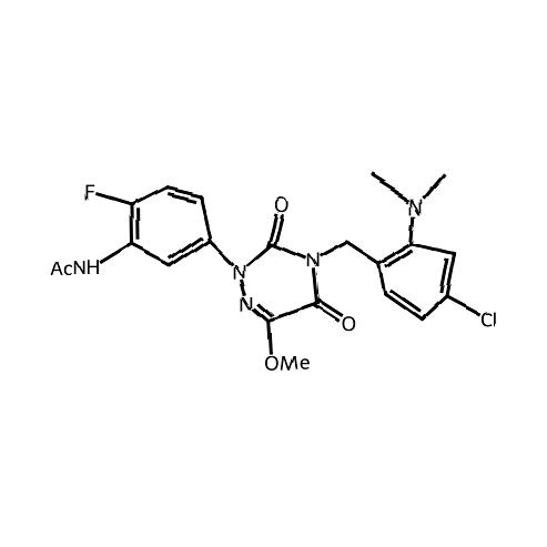 COc1nn(-c2ccc(F)c(NC(C)=O)c2)c(=O)n(Cc2ccc(Cl)cc2N(C)C)c1=O